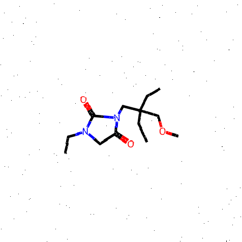 CCN1CC(=O)N(CC(CC)(CC)COC)C1=O